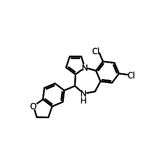 Clc1cc(Cl)c2c(c1)CNC(c1ccc3c(c1)CCO3)c1cccn1-2